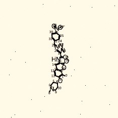 Cc1c(OC2CCN(C)CC2)ccc2cc(NC(=O)c3cn(Cc4ccc([N+](=O)[O-])cc4)nn3)c(=O)oc12